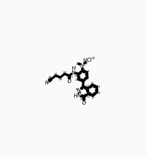 CN(C)c1ccc(-c2n[nH]c(=O)c3ccccc23)cc1NC(=O)CCCC#N.Cl